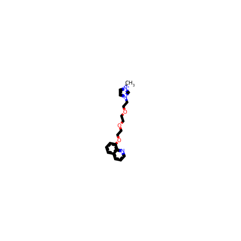 C[n+]1ccn(CCOCCOCCOc2cccc3cccnc23)c1